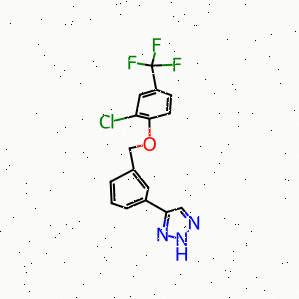 FC(F)(F)c1ccc(OCc2cccc(-c3cn[nH]n3)c2)c(Cl)c1